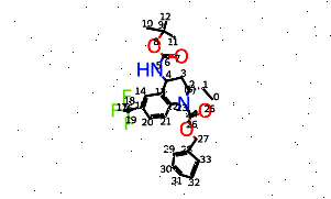 CC[C@H]1CC(NC(=O)OC(C)(C)C)c2cc(C(F)(F)F)ccc2N1C(=O)OCc1ccccc1